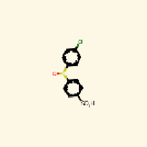 O=S(=O)(O)c1ccc([S+]([O-])c2ccc(Cl)cc2)cc1